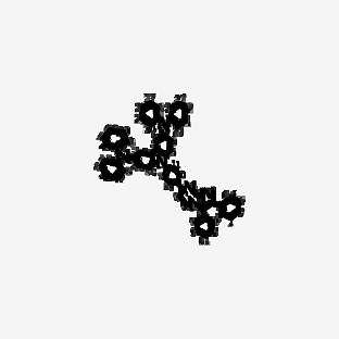 c1ccc(-c2nc3nc(-c4ccc(-n5c6ccc(N(c7ccccc7)c7ccccc7)cc6c6cc(N(c7ccccc7)c7ccccc7)ccc65)cc4)ccn3c2-c2ccccc2)cc1